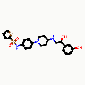 O=S(=O)(Nc1ccc(N2CCC(NCC(O)c3cccc(O)c3)CC2)cc1)c1cccs1